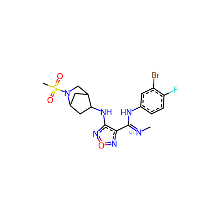 C/N=C(\Nc1ccc(F)c(Br)c1)c1nonc1NC1CC2CC1CN2S(C)(=O)=O